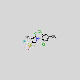 N#Cc1c(S(=O)(Cl)(Cl)CF)cn(-c2c(Cl)cc(C(F)(F)F)cc2Cl)c1Cl